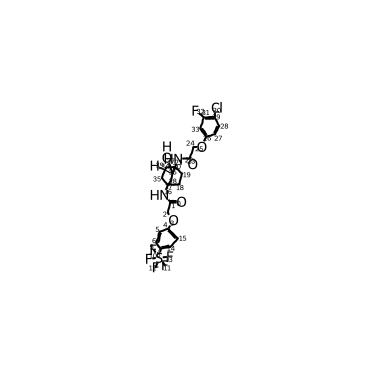 O=C(COc1ccc(S(F)(F)(F)(F)F)cc1)NC12CCC(NC(=O)COc3ccc(Cl)c(F)c3)(CC1)[C@@H](O)C2